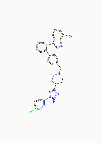 N#Cc1cccn2c(-c3ccccc3-c3ccc(CN4CCC(c5n[nH]c(-c6ccc(Cl)cn6)n5)CC4)cc3)cnc12